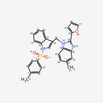 Cc1ccc(S(=O)(=O)n2cc(Cn3c(-c4ccco4)nc4cc(C)ccc43)c3ccccc32)cc1